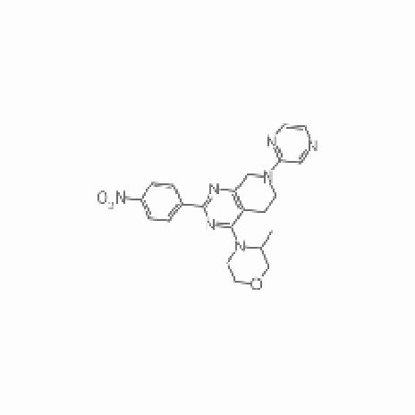 CC1COCCN1c1nc(-c2ccc([N+](=O)[O-])cc2)nc2c1CCN(c1cnccn1)C2